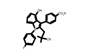 CC(C)(C#N)Cc1c(-c2ccc(C(=O)O)cc2)c2c(O)cccc2n1-c1ccc(F)cc1